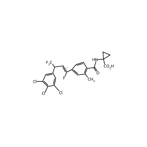 Cc1cc(/C(F)=C/C(c2cc(Cl)c(Cl)c(Cl)c2)C(F)(F)F)ccc1C(=O)NC1(C(=O)O)CC1